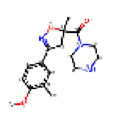 COc1ccc(C2=NOC(C)(C(=O)N3CCNCC3)C2)cc1C